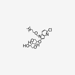 C[Si](C)(C)CCOCn1c(O[C@@H]2CO[C@H]3[C@@H]2OC[C@H]3O)cc2nc(Cl)ccc21